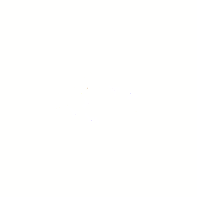 CN1C(=O)C2(C)C[C@]2(c2cc(NCc3ccccn3)ccc2F)N=C1N